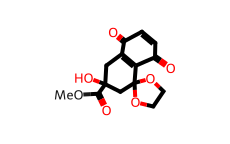 COC(=O)C1(O)CC2=C(C(=O)C=CC2=O)C2(C1)OCCO2